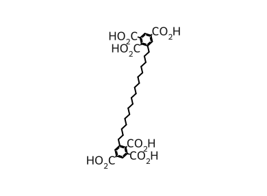 O=C(O)c1cc(CCCCCCCCCCCCCCCCCCc2cc(C(=O)O)cc(C(=O)O)c2C(=O)O)c(C(=O)O)c(C(=O)O)c1